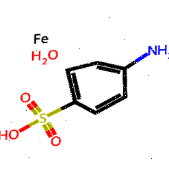 Nc1ccc(S(=O)(=O)O)cc1.O.[Fe]